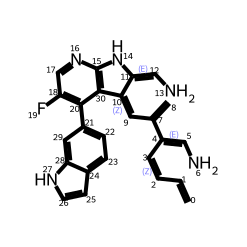 C=C/C=C\C(=C/N)C(=C)/C=c1\c(=C/N)[nH]c2ncc(F)c(-c3ccc4cc[nH]c4c3)c12